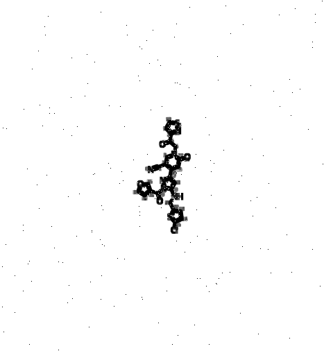 N#Cc1cn(CC(=O)c2ccsn2)c(=O)cc1-c1cc(NCc2ccc(Cl)s2)n(C(=O)c2ccoc2)n1